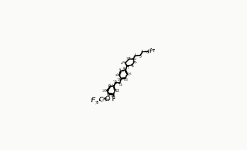 CC(C)CCCC1CCC(c2ccc(CCc3ccc(OC(F)(F)F)c(F)c3)cc2)CC1